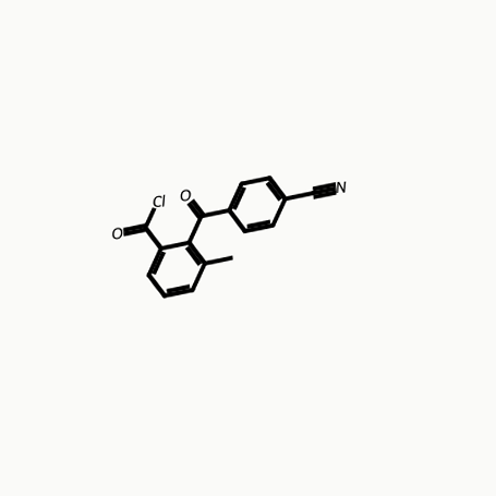 Cc1cccc(C(=O)Cl)c1C(=O)c1ccc(C#N)cc1